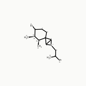 CCC1CCC2(C3C2N3CC(C)C(C)C)[C@@H](C)[C@H]1C